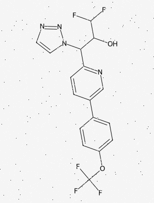 OC(C(F)F)C(c1ccc(-c2ccc(OC(F)(F)F)cc2)cn1)n1ccnn1